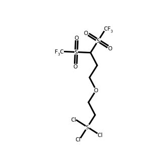 O=S(=O)(C(CCOCCS(Cl)(Cl)Cl)S(=O)(=O)C(F)(F)F)C(F)(F)F